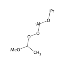 COC(C)O[O][Al][O]C(C)C